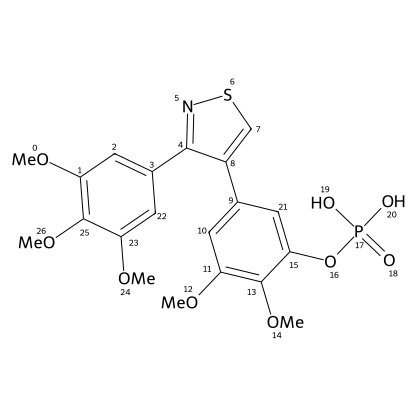 COc1cc(-c2nscc2-c2cc(OC)c(OC)c(OP(=O)(O)O)c2)cc(OC)c1OC